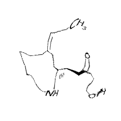 CC=C1CCN[C@@H]1C(=O)O